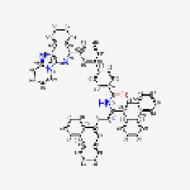 O=C(N/C(=C\Cc1cc2ccccc2c2ccccc12)c1cc2ccccc2c2ccccc12)c1ccc(-c2cccc(-c3nc4c(nc5ccccn54)c4ccccc34)c2)cc1